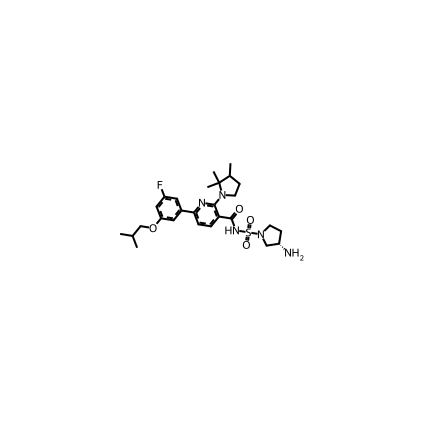 CC(C)COc1cc(F)cc(-c2ccc(C(=O)NS(=O)(=O)N3CC[C@H](N)C3)c(N3CCC(C)C3(C)C)n2)c1